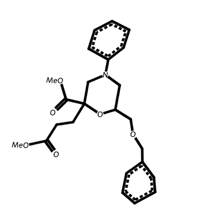 COC(=O)CCC1(C(=O)OC)CN(c2ccccc2)CC(COCc2ccccc2)O1